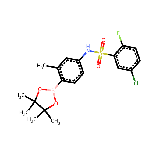 Cc1cc(NS(=O)(=O)c2cc(Cl)ccc2F)ccc1B1OC(C)(C)C(C)(C)O1